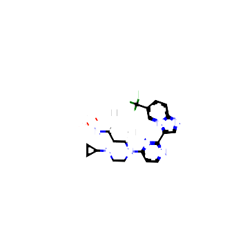 C[C@H](NS(C)(=O)=O)[C@@H]1[C@H](C)N(c2ccnc(-c3cnc4ccc(C(F)(F)F)cn34)n2)CCN1C1CC1